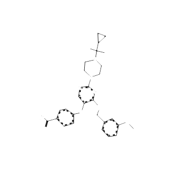 COc1cccc(COc2nc(N3CCN(C(C)(C)C4CC4)CC3)ncc2Sc2ccc(C(N)=O)cc2)c1